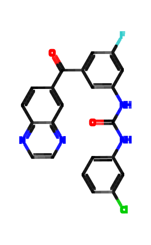 O=C(Nc1cccc(Cl)c1)Nc1cc(F)cc(C(=O)c2ccc3nccnc3c2)c1